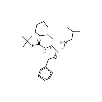 CC(C)CNC[C@H](OCc1ccccc1)[C@@H](CC1CCCCC1)NC(=O)OC(C)(C)C